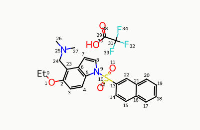 CCOc1ccc2c(ccn2S(=O)(=O)c2ccc3ccccc3c2)c1CN(C)C.O=C(O)C(F)(F)F